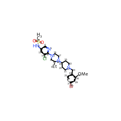 CC[C@H]1CN(c2ncc(NS(C)(=O)=O)cc2Cl)CCN1C1CCN(Cc2ccc(Br)cc2OC)CC1